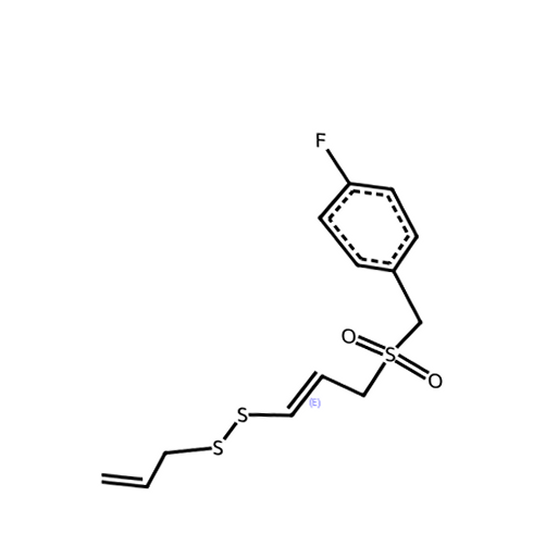 C=CCSS/C=C/CS(=O)(=O)Cc1ccc(F)cc1